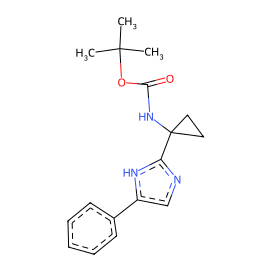 CC(C)(C)OC(=O)NC1(c2ncc(-c3ccccc3)[nH]2)CC1